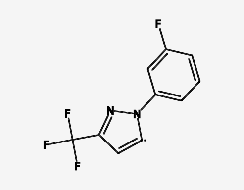 Fc1cccc(-n2[c]cc(C(F)(F)F)n2)c1